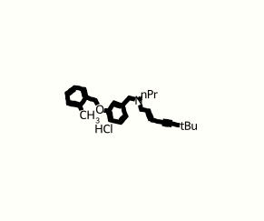 CCCN(CC=CC#CC(C)(C)C)Cc1cccc(OCc2ccccc2C)c1.Cl